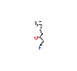 CCCCC(=O)CC#N